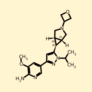 COc1cc(-c2cc([C@H]3[C@@H]4CN(C5COC5)C[C@@H]43)n(C(C)C)n2)cnc1N